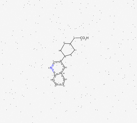 O=C(O)CC1CCC(c2cnc3ccccc3c2)CC1